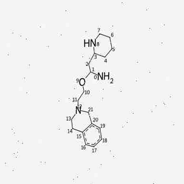 NC(CC1CCCCN1)OCCN1CCc2ccccc2C1